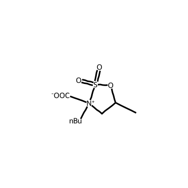 CCCC[N+]1(C(=O)[O-])CC(C)OS1(=O)=O